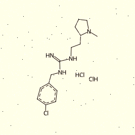 CN1CCCC1CCNC(=N)NCc1ccc(Cl)cc1.Cl.Cl